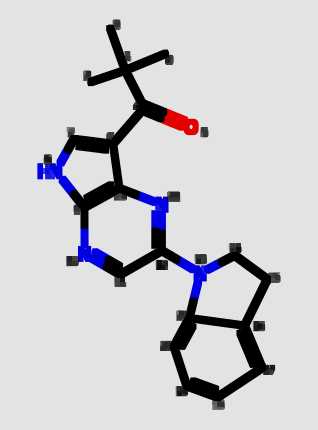 CC(C)(C)C(=O)c1c[nH]c2ncc(N3CCc4ccccc43)nc12